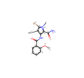 CCCc1c(NC(=O)c2ccccc2OCC)c(C(N)=O)n(C)c1Br